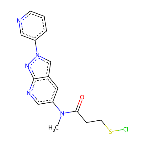 CN(C(=O)CCSCl)c1cnc2nn(-c3cccnc3)cc2c1